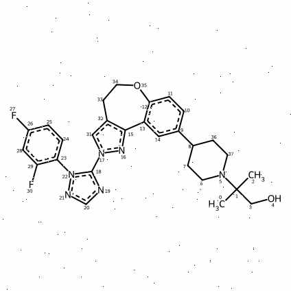 CC(C)(CO)N1CCC(c2ccc3c(c2)-c2nn(-c4ncnn4-c4ccc(F)cc4F)cc2CCO3)CC1